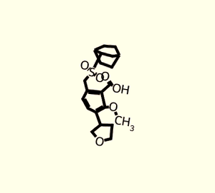 COc1c(C2CCOC2)ccc(CS(=O)(=O)C2CC3CCC2CC3)c1C(=O)O